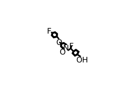 O=c1cc(OCc2ccc(F)cc2)ccn1CC(F)c1ccc(CO)cc1